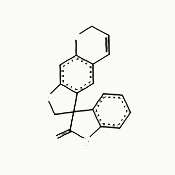 O=C1Nc2ccccc2C12COc1cc3c(cc12)C=CCO3